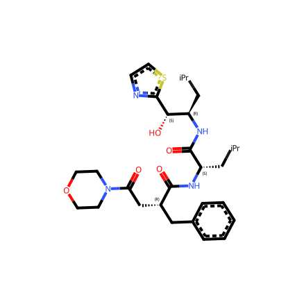 CC(C)C[C@H](NC(=O)[C@@H](CC(=O)N1CCOCC1)Cc1ccccc1)C(=O)N[C@H](CC(C)C)[C@H](O)c1nccs1